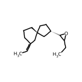 C/C=C1\CCC[C@]2(CC[C@H](C3OC3CC)C2)C1